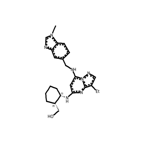 CCc1cnn2c(NCc3ccc4c(c3)ncn4C)cc(N[C@H]3CCCC[C@H]3CO)nc12